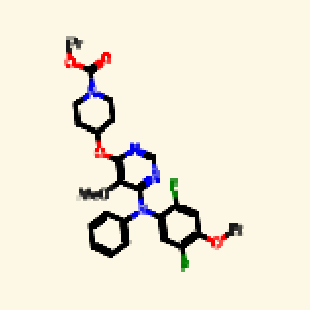 CCOc1cc(F)c(N(c2ccccc2)c2ncnc(OC3CCN(C(=O)OC(C)C)CC3)c2OC)cc1F